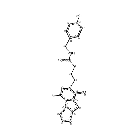 Cc1nn(CCCC(=O)NCc2ccc(Cl)cc2)c(=O)c2cc3sccc3n12